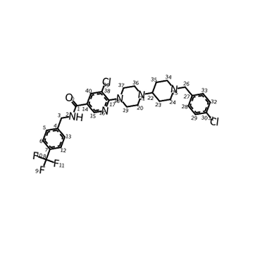 O=C(NCc1ccc(C(F)(F)F)cc1)c1cnc(N2CCN(C3CCN(Cc4ccc(Cl)cc4)CC3)CC2)c(Cl)c1